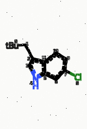 CC(C)(C)Cc1c[nH]c2cc(Cl)ccc12